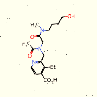 CCc1c(C(=O)O)ccnc1CN(CC(=O)N(C)CCCCO)C(=O)C(F)(F)F